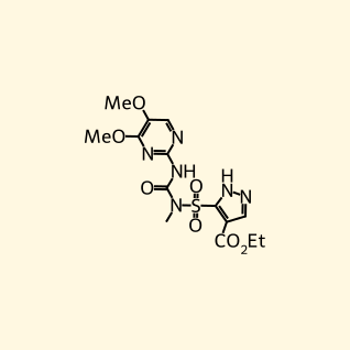 CCOC(=O)c1cn[nH]c1S(=O)(=O)N(C)C(=O)Nc1ncc(OC)c(OC)n1